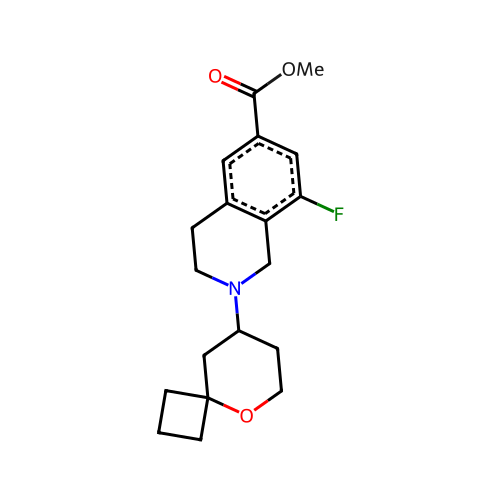 COC(=O)c1cc(F)c2c(c1)CCN(C1CCOC3(CCC3)C1)C2